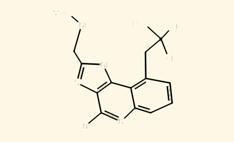 CONCc1nc2c(N)nc3cccc(CC(C)(C)O)c3c2[nH]1